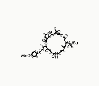 COc1ccc(COC[C@H](C)[C@H]2OC(=O)[C@H]3CCCN3C(=O)c3nc(oc3C)CC(=O)CC(O[Si](C)(C)C(C)(C)C)/C=C(C)/C=C/CNC(=O)/C=C/[C@H]2C)cc1